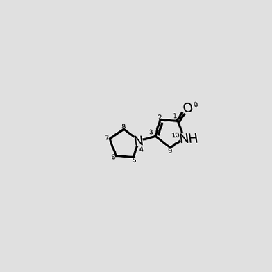 O=C1C=C(N2CCCC2)CN1